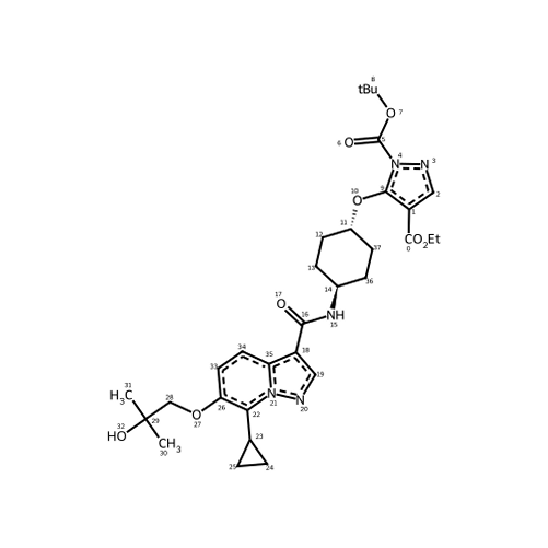 CCOC(=O)c1cnn(C(=O)OC(C)(C)C)c1O[C@H]1CC[C@H](NC(=O)c2cnn3c(C4CC4)c(OCC(C)(C)O)ccc23)CC1